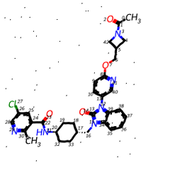 CC(=O)N1CC(COc2ccc(-n3c(=O)n(C[C@H]4CC[C@H](NC(=O)c5cc(Cl)cnc5C)CC4)c4ccccc43)cn2)C1